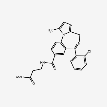 COC(=O)CCNC(=O)c1ccc2c(c1)C(c1ccccc1Cl)=NCc1ncc(C)n1-2